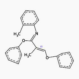 C/C(=C\Oc1ccccc1)C(=Nc1ccccc1C)Oc1ccccc1